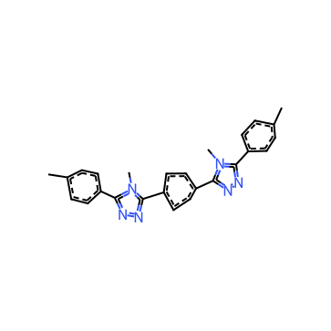 Cc1ccc(-c2nnc(-c3ccc(-c4nnc(-c5ccc(C)cc5)n4C)cc3)n2C)cc1